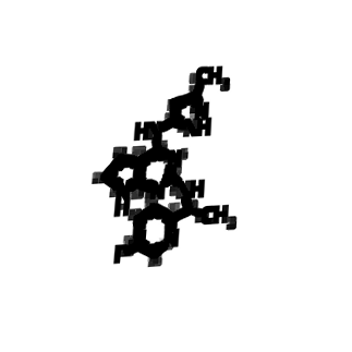 Cc1cc(Nc2nc(N[C@@H](C)c3ccc(F)cn3)nc3[nH]ccc23)[nH]n1